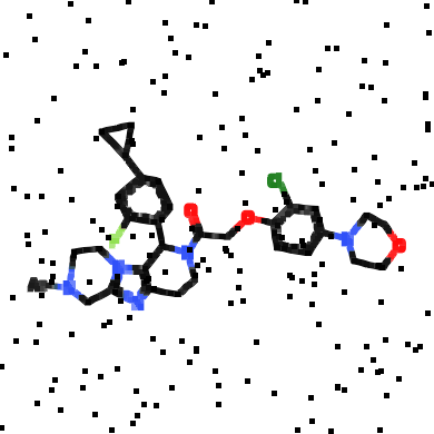 CC(=O)N1CCn2c(nc3c2C(c2ccc(C4CC4)cc2F)N(C(=O)COc2ccc(N4CCOCC4)cc2Cl)CC3)C1